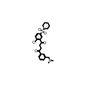 CN(C)Cc1cccc(C(=O)CCC(=O)c2cc(S(=O)(=O)N3CCCCC3)ccc2Cl)c1